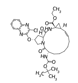 CCOC(=O)[C@@]12C[C@H]1/C=C\CCCCC[C@H](NC(=O)OC(C)(C)C)C(=O)N1C[C@H](Oc3nc4ccccc4nc3Cl)C[C@H]1C(=O)N2